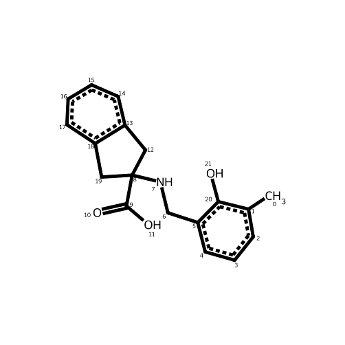 Cc1cccc(CNC2(C(=O)O)Cc3ccccc3C2)c1O